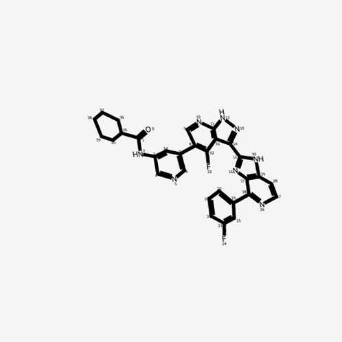 O=C(Nc1cncc(-c2cnc3[nH]nc(-c4nc5c(-c6cccc(F)c6)nccc5[nH]4)c3c2F)c1)C1CCCCC1